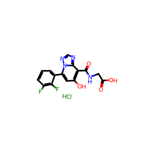 Cl.O=C(O)CNC(=O)c1c(O)cc(-c2cccc(F)c2F)n2ncnc12